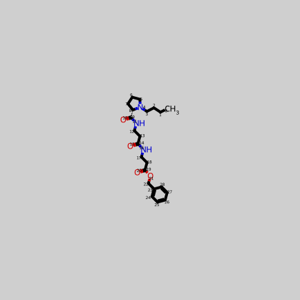 CCCCN1CCC[C@H]1C(=O)NCCC(=O)NCCC(=O)OCc1ccccc1